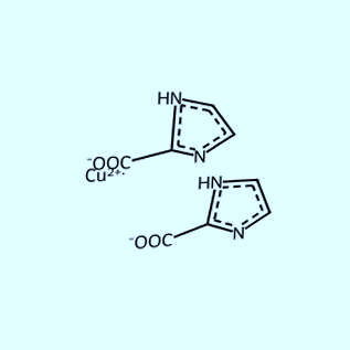 O=C([O-])c1ncc[nH]1.O=C([O-])c1ncc[nH]1.[Cu+2]